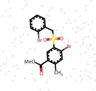 COC(=O)c1cc(S(=O)(=O)Cc2ccccc2Br)c(Br)cc1C